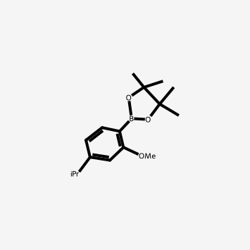 COc1cc(C(C)C)ccc1B1OC(C)(C)C(C)(C)O1